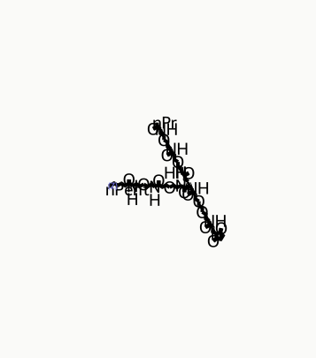 CCCCC/C=C\CCCC(=O)NCCOCCNC(=O)CCOCCNC(=O)[C@H](CCC(=O)NCCOCCC(=O)NCCOCCNC(=O)CCC)NC(=O)CCOCCOCCNC(=O)CCN1C(=O)C=CC1=O